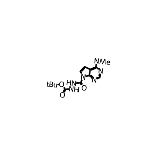 CNc1ncnc2c1ccn2C(=O)NNC(=O)OC(C)(C)C